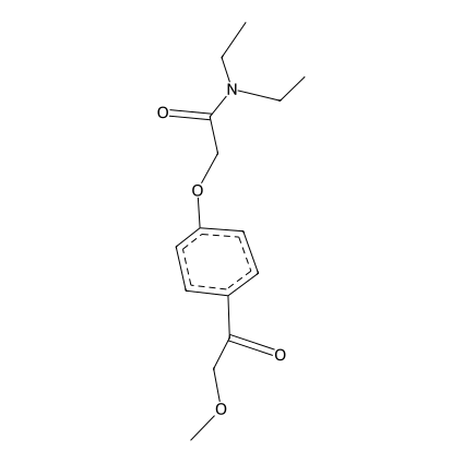 CCN(CC)C(=O)COc1ccc(C(=O)COC)cc1